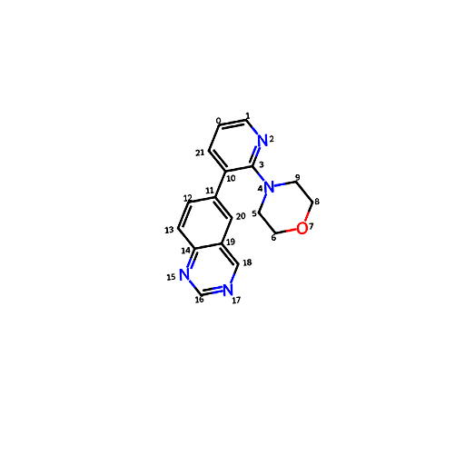 c1cnc(N2CCOCC2)c(-c2ccc3ncncc3c2)c1